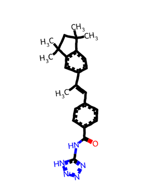 C/C(=C\c1ccc(C(=O)Nc2nnn[nH]2)cc1)c1ccc2c(c1)C(C)(C)CC2(C)C